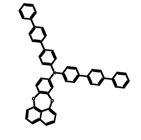 c1ccc(-c2ccc(-c3ccc(N(c4ccc(-c5ccc(-c6ccccc6)cc5)cc4)c4ccc5c(c4)Oc4cccc6cccc(c46)O5)cc3)cc2)cc1